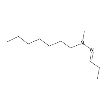 CC/C=N/N(C)CCCCCCC